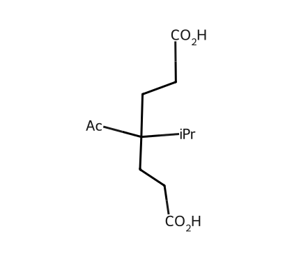 CC(=O)C(CCC(=O)O)(CCC(=O)O)C(C)C